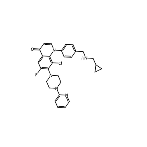 O=c1ccn(-c2ccc(CNCC3CC3)cc2)c2c(Cl)c(N3CCN(c4ccccn4)CC3)c(F)cc12